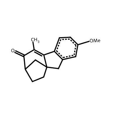 COc1ccc2c(c1)CC13CCC(C1)C(=O)C(C)=C23